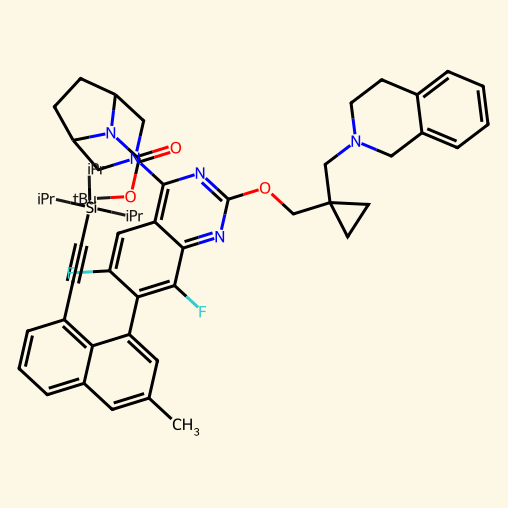 Cc1cc(-c2c(F)cc3c(N4CC5CCC(C4)N5C(=O)OC(C)(C)C)nc(OCC4(CN5CCc6ccccc6C5)CC4)nc3c2F)c2c(C#C[Si](C(C)C)(C(C)C)C(C)C)cccc2c1